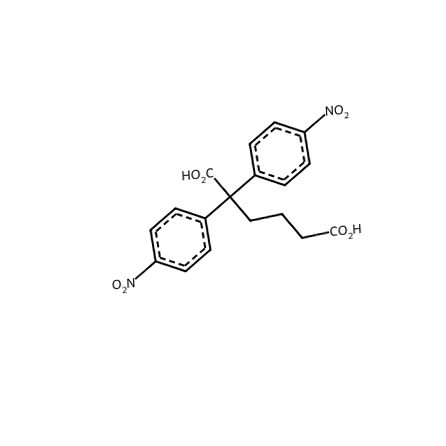 O=C(O)CCCC(C(=O)O)(c1ccc([N+](=O)[O-])cc1)c1ccc([N+](=O)[O-])cc1